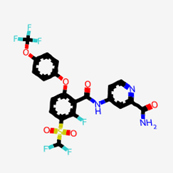 NC(=O)c1cc(NC(=O)c2c(Oc3ccc(OC(F)(F)F)cc3)ccc(S(=O)(=O)C(F)F)c2F)ccn1